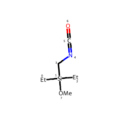 CC[Si](CC)(CN=C=O)OC